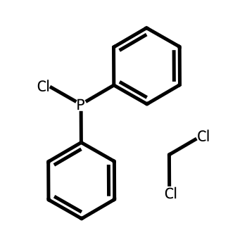 ClCCl.ClP(c1ccccc1)c1ccccc1